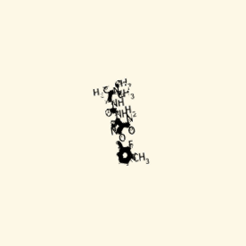 Cc1cccc(COc2nsc(NC(=O)NCC(C)N(C)C)c2C(N)=O)c1F